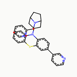 c1ccc(CN2C3CCC2CC(N2c4ccccc4Sc4cc(-c5cccnc5)ccc42)C3)nc1